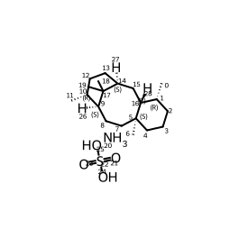 C[C@@H]1CCC[C@@]2(C)CC[C@H]3[C@H](C)CC[C@@H](C[C@H]12)C3(C)C.N.O=S(=O)(O)O